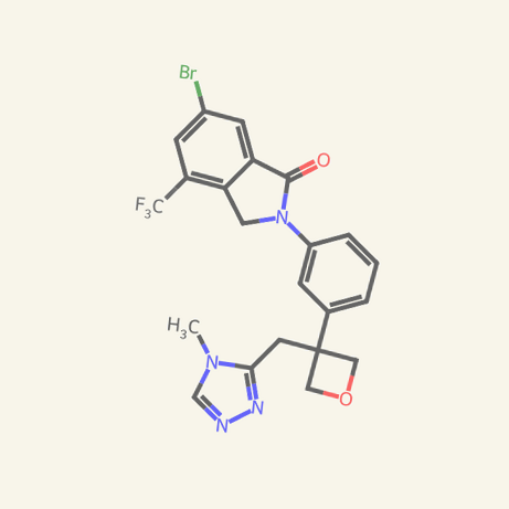 Cn1cnnc1CC1(c2cccc(N3Cc4c(cc(Br)cc4C(F)(F)F)C3=O)c2)COC1